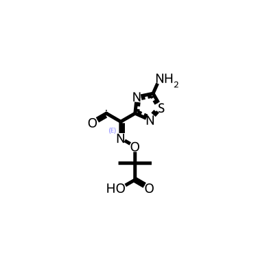 CC(C)(O/N=C(/[C]=O)c1nsc(N)n1)C(=O)O